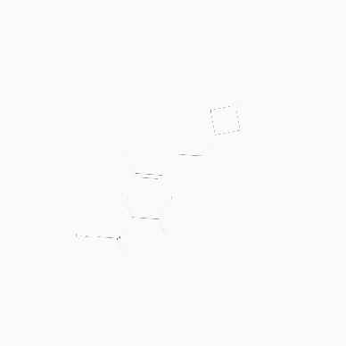 COC(=O)c1cc(Cl)c(OCC2CN(C(=O)O)C2)cc1F